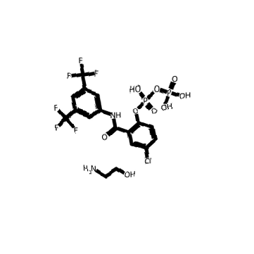 NCCO.O=C(Nc1cc(C(F)(F)F)cc(C(F)(F)F)c1)c1cc(Cl)ccc1OP(=O)(O)OP(=O)(O)O